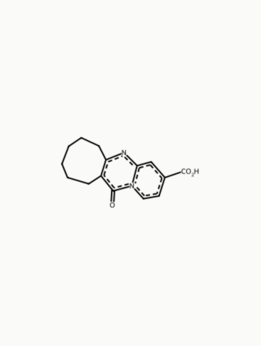 O=C(O)c1ccn2c(=O)c3c(nc2c1)CCCCCC3